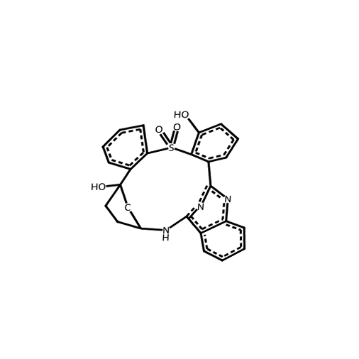 O=S1(=O)c2ccccc2C2(O)CCC(C2)Nc2nc(nc3ccccc23)-c2cccc(O)c21